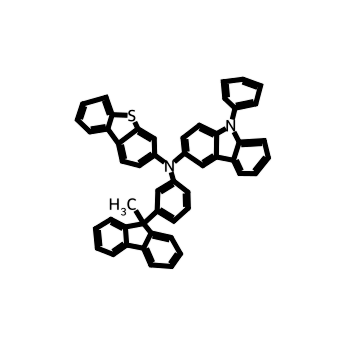 CC1(c2cccc(N(c3ccc4c(c3)sc3ccccc34)c3ccc4c(c3)c3ccccc3n4-c3ccccc3)c2)c2ccccc2-c2ccccc21